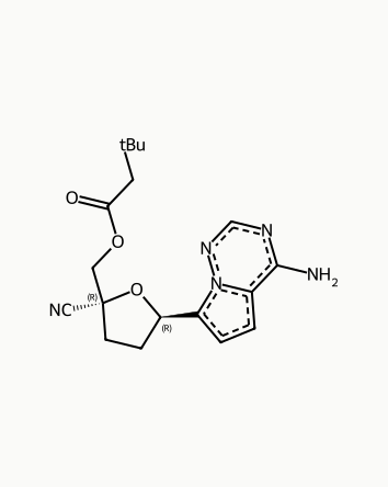 CC(C)(C)CC(=O)OC[C@]1(C#N)CC[C@H](c2ccc3c(N)ncnn23)O1